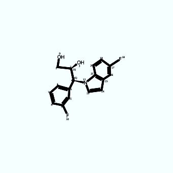 OC[C@@H](O)[C@H](c1cccc(F)c1)n1ccc2cc(F)ccc21